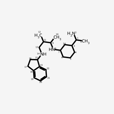 CC(N)C1CCCC(NC(C)C(C)CNC2CCc3ccccc32)C1